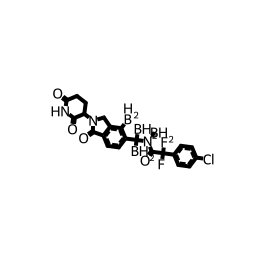 Bc1c(C(B)(B)N(B)C(=O)C(F)(F)c2ccc(Cl)cc2)ccc2c1CN(C1CCC(=O)NC1=O)C2=O